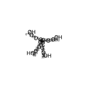 CC(O)COCCOCCO[Si](OCCOCCOCC(C)O)(OCCOCCOCC(C)O)OCCOCCOCC(C)O